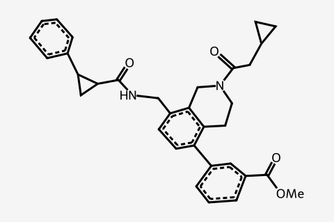 COC(=O)c1cccc(-c2ccc(CNC(=O)C3CC3c3ccccc3)c3c2CCN(C(=O)CC2CC2)C3)c1